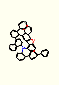 CC1C=CC=C(c2ccccc2)C1C1=Cc2c(oc3cccc(N(c4cccc5ccccc45)C4C=CC=CC4c4ccc(-c5ccccc5)cc4)c23)C2C=CC=CC12